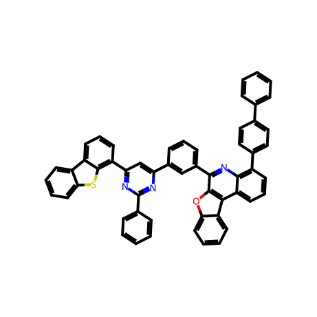 c1ccc(-c2ccc(-c3cccc4c3nc(-c3cccc(-c5cc(-c6cccc7c6sc6ccccc67)nc(-c6ccccc6)n5)c3)c3oc5ccccc5c34)cc2)cc1